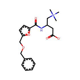 C[N+](C)(C)CC(CC(=O)[O-])NC(=O)c1ccc(COCc2ccccc2)o1